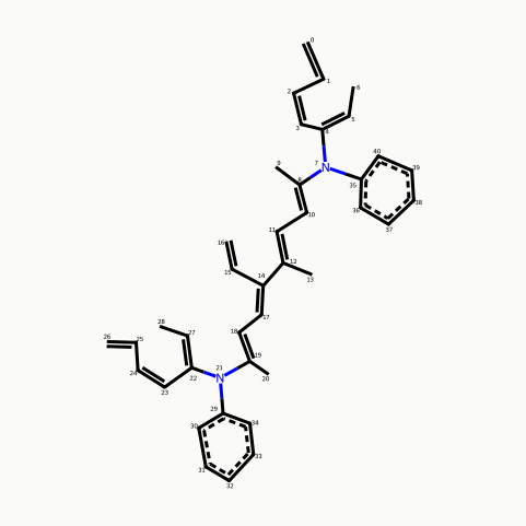 C=C/C=C\C(=C/C)N(/C(C)=C/C=C(C)/C(C=C)=C/C=C(\C)N(C(/C=C\C=C)=C/C)c1ccccc1)c1ccccc1